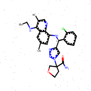 CC(C)(C)CNc1c(C#N)cnc2c(N[C@H](c3cn(C4(C(N)=O)CCOC4)nn3)c3ccccc3Cl)cc(C#N)cc12